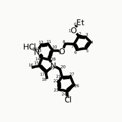 CCOc1ccccc1COc1ccnc2c(C)c(C)n(Cc3ccc(Cl)cc3)c12.Cl